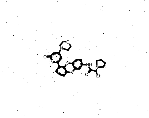 CCC(C(=O)Nc1ccc2c(c1)Sc1cccc(-c3cc(N4CCOCC4)cc(=O)[nH]3)c1S2)N1CCCC1